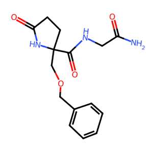 NC(=O)CNC(=O)C1(COCc2ccccc2)CCC(=O)N1